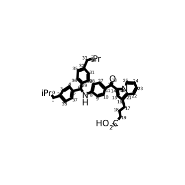 CC(C)Cc1ccc(C(Nc2ccc(C(=O)c3cc(CCCC(=O)O)c4ccccn34)cc2)c2ccc(CC(C)C)cc2)cc1